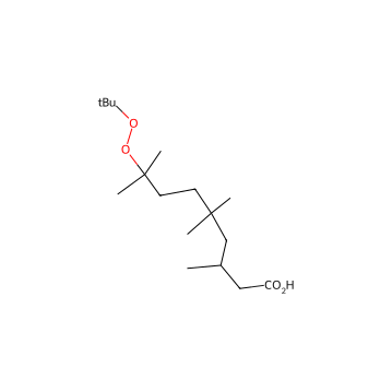 CC(CC(=O)O)CC(C)(C)CCC(C)(C)OOC(C)(C)C